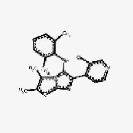 Cc1cccc(C)c1Nc1c(-c2ccncc2Cl)nc2sc(C)c(C)n12